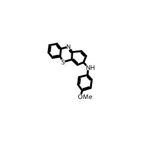 COc1ccc(NC2C=CC3=Nc4ccccc4SC3=C2)cc1